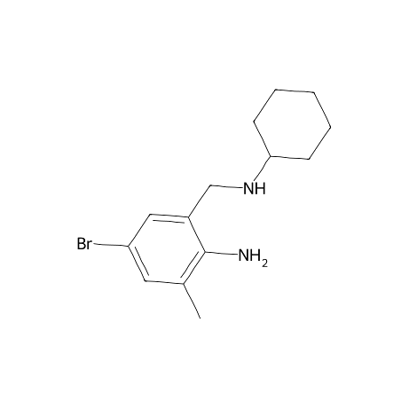 Cc1cc(Br)cc(CNC2CCCCC2)c1N